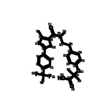 Cc1nc(-c2ccc(C(F)(F)F)cc2)sc1C(=O)N(C)CCc1ccc(OC(C)(C)C(=O)O)cc1